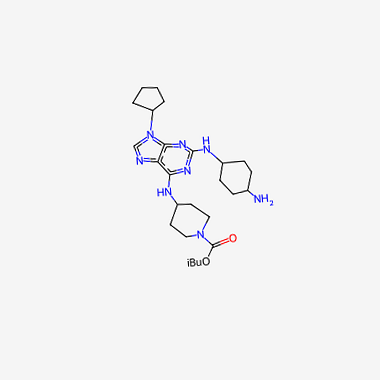 CC(C)COC(=O)N1CCC(Nc2nc(NC3CCC(N)CC3)nc3c2ncn3C2CCCC2)CC1